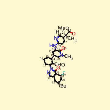 COC(=O)C(C)(C)c1ccc(Nc2cc(-c3cccc(-n4ncc5cc(C(C)(C)C)cc(F)c5c4=O)c3C=O)cn(C)c2=O)nc1